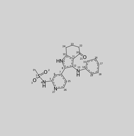 CS(=O)(=O)Nc1cc(-c2[nH]c3c(c2Nc2ccccc2)C(=O)CCC3)ccn1